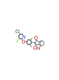 Cc1cc(Oc2ncc(Cl)cc2F)cc(C)c1C1=C(O)C2C3CCC(CC3)C2C1=O